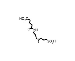 CN(CCCNC(=O)CCCC(=O)O)CCCS(=O)(=O)O